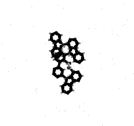 N#Cc1c(-c2cccc(-n3c4ccccc4c4cccc(C#N)c43)c2)cccc1-n1c2ccccc2c2cccc(-n3c4ccccc4c4ccccc43)c21